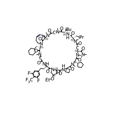 CCO[C@@H]1C[C@H]2C(=O)NC3(CCC3)C(=O)N(C)[C@@H](C3CCCC3)C(=O)N(C)[C@H](C(=O)N(C)C)CC(=O)N(C)[C@@H](CC(C)C)C(=O)N[C@@H]([C@@H](C)CC)C(=O)N(C)CC(=O)N(C)[C@H]3C/C=C\CCN(C3=O)[C@@H](CC3CCCCC3)C(=O)N(C)CC(=O)N[C@@H](CCc3cc(F)c(C(F)(F)F)c(F)c3)C(=O)N2C1